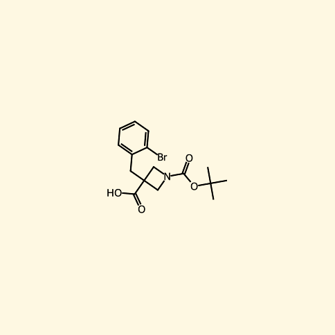 CC(C)(C)OC(=O)N1CC(Cc2ccccc2Br)(C(=O)O)C1